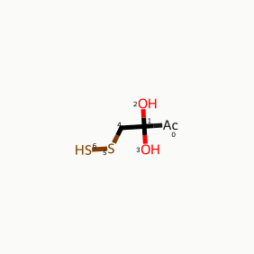 CC(=O)C(O)(O)CSS